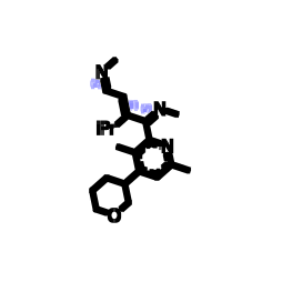 C\N=C/C=C(/C(=N/C)c1nc(C)cc(C2CCCOC2)c1C)C(C)C